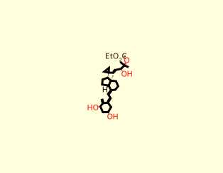 C=C1/C(=C\C=C2/CCC[C@]3(C)[C@@H](C4(/C=C/[C@@H](O)C(C)(C)OC(=O)OCC)CC4)CC[C@@H]23)C[C@@H](O)C[C@@H]1O